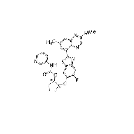 COc1cnc2c(-c3nc4cc(F)c(O[C@H]5CCC[C@H]5OC(=O)Nc5cccnc5)cc4s3)cc(C)cc2n1